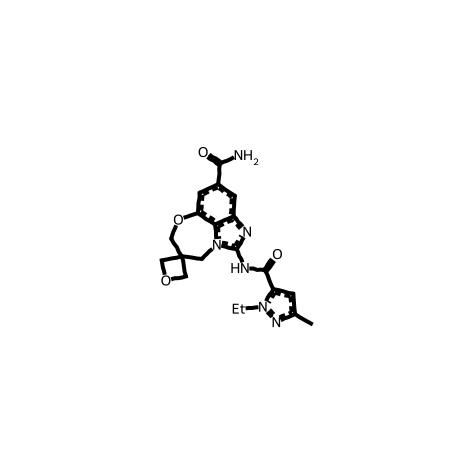 CCn1nc(C)cc1C(=O)Nc1nc2cc(C(N)=O)cc3c2n1CC1(COC1)CO3